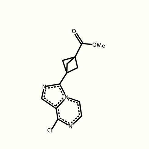 COC(=O)C12CC(c3ncc4c(Cl)nccn34)(C1)C2